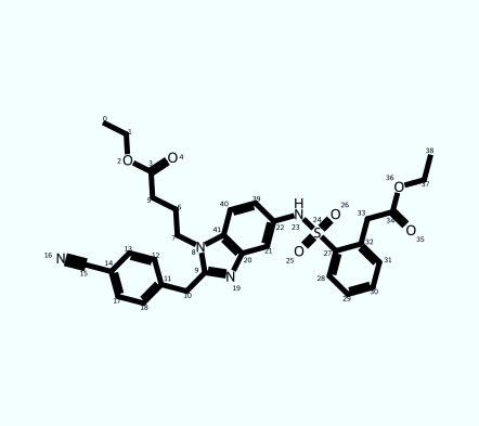 CCOC(=O)CCCn1c(Cc2ccc(C#N)cc2)nc2cc(NS(=O)(=O)c3ccccc3CC(=O)OCC)ccc21